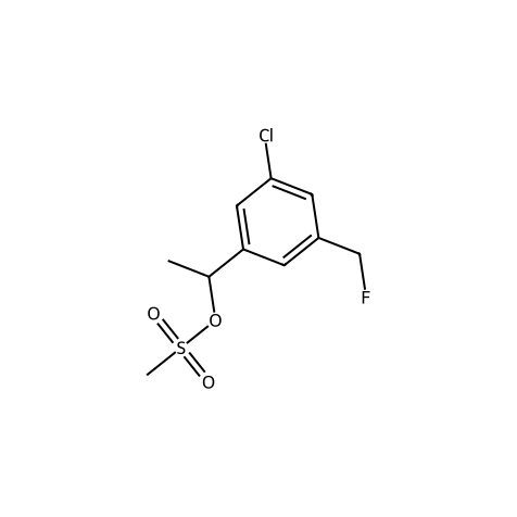 CC(OS(C)(=O)=O)c1cc(Cl)cc(CF)c1